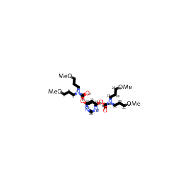 COCCCN(CCCOC)C(=O)Oc1cc(OC(=O)N(CCCOC)CCCOC)ncn1